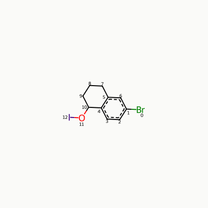 Brc1ccc2c(c1)CCCC2OI